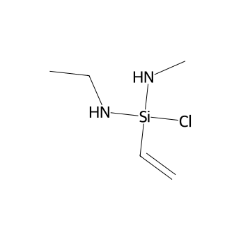 C=C[Si](Cl)(NC)NCC